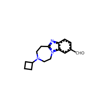 O=Cc1ccc2nc3n(c2c1)CCN(C1CCC1)CC3